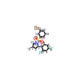 [CH2]c1cc(-c2ccc(F)cc2F)n(S(=O)(=O)c2cccc(Br)c2)c1